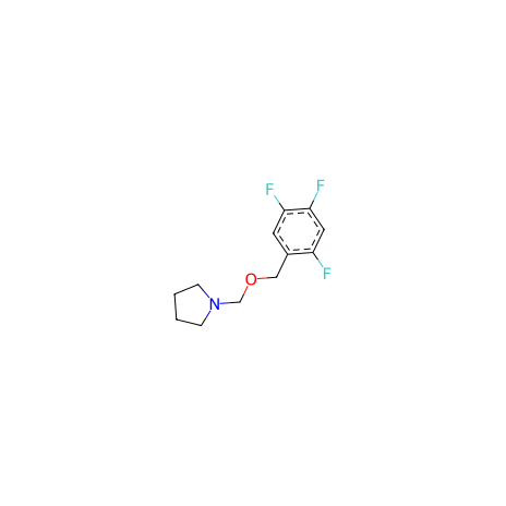 Fc1cc(F)c(COCN2CCCC2)cc1F